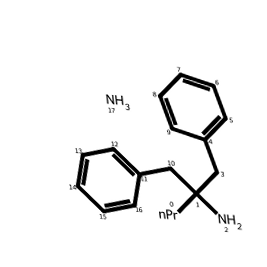 CCCC(N)(Cc1ccccc1)Cc1ccccc1.N